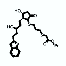 CC(C)OC(=O)CSCCCSC1C(=O)C[C@@H](O)[C@@H]1C=CC(O)CCc1cc2ccccc2s1